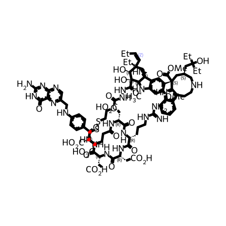 CC/C=C\[C@]1(CC)C2NCC[C@@]23c2cc([C@@]4(C(=O)OC)C[C@@H](CC(O)(CC)CC)CNCCc5c4[nH]c4ccccc54)c(OC)cc2N(C)[C@H]3[C@@](O)(C(=O)NNC(=O)OCCSSC[C@H](NC(=O)[C@@H](CC(=O)O)NC(=O)[C@@H](CC(=O)O)NC(=O)[C@@H](CCCNC(=N)N)NC(=O)[C@@H](CC(=O)O)NC(=O)CC[C@@H](NC(=O)c2ccc(NCc3cnc4nc(N)[nH]c(=O)c4n3)cc2)C(=O)O)C(=O)O)[C@@H]1O